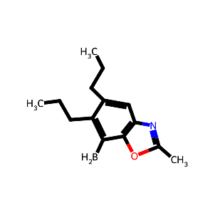 Bc1c(CCC)c(CCC)cc2nc(C)oc12